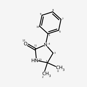 CC1(C)CN(c2ccccc2)C(=O)N1